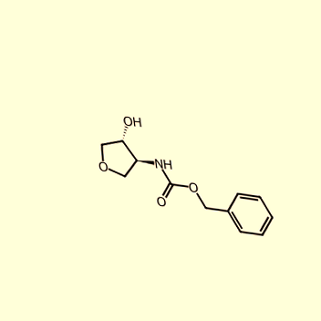 O=C(N[C@H]1COC[C@@H]1O)OCc1ccccc1